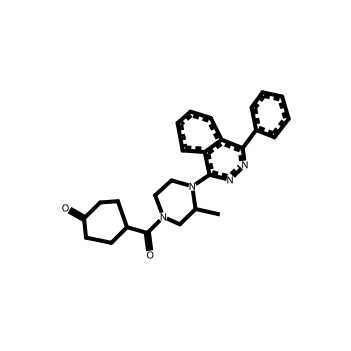 CC1CN(C(=O)C2CCC(=O)CC2)CCN1c1nnc(-c2ccccc2)c2ccccc12